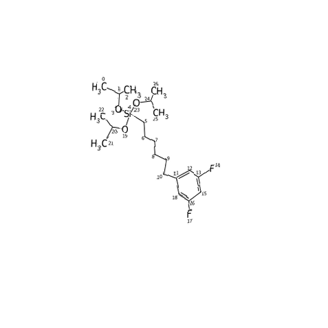 CC(C)O[Si](CCCCCCc1cc(F)cc(F)c1)(OC(C)C)OC(C)C